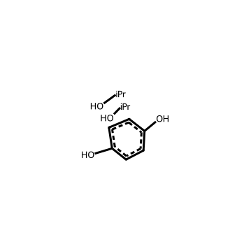 CC(C)O.CC(C)O.Oc1ccc(O)cc1